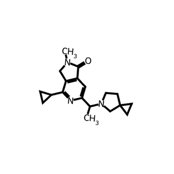 CC(c1cc2c(c(C3CC3)n1)CN(C)C2=O)N1CCC2(CC2)C1